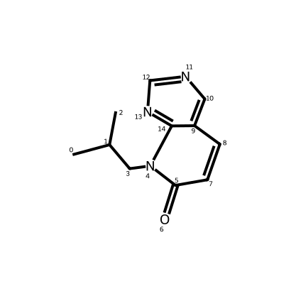 CC(C)Cn1c(=O)ccc2cncnc21